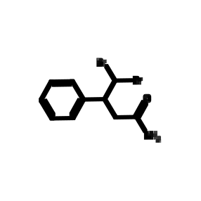 NC(=O)CC(c1ccccc1)C(Br)Br